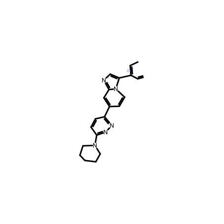 C=C/C(=C\C)c1cnc2cc(-c3ccc(N4CCCCC4)nn3)ccn12